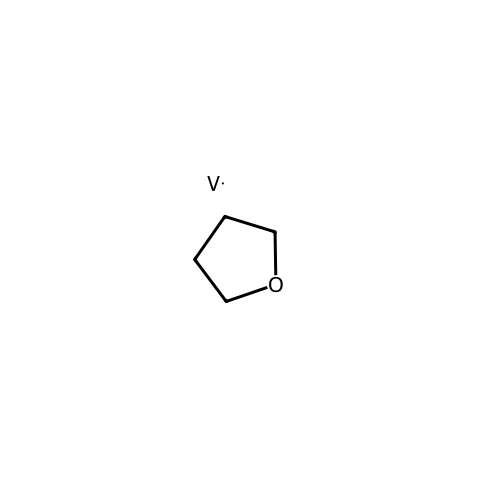 C1CCOC1.[V]